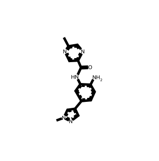 Cc1cnc(C(=O)Nc2cc(-c3cnn(C)c3)ccc2N)cn1